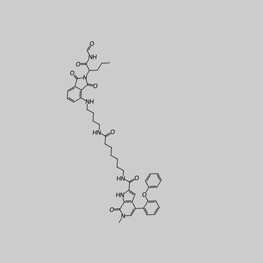 CCCC(C(=O)NC=O)N1C(=O)c2cccc(NCCCCNC(=O)CCCCCCNC(=O)c3cc4c(-c5ccccc5Oc5ccccc5)cn(C)c(=O)c4[nH]3)c2C1=O